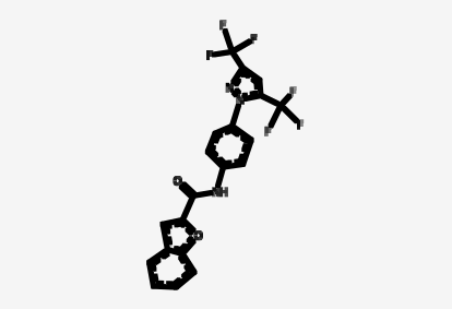 O=C(Nc1ccc(-n2nc(C(F)(F)F)cc2C(F)(F)F)cc1)c1cc2ccccc2o1